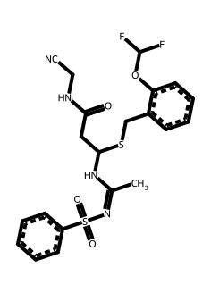 CC(=NS(=O)(=O)c1ccccc1)NC(CC(=O)NCC#N)SCc1ccccc1OC(F)F